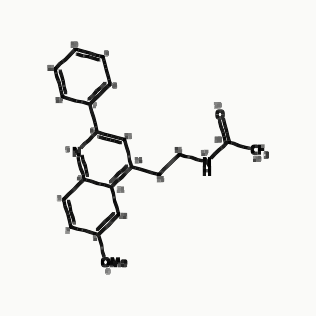 COc1ccc2nc(-c3ccccc3)cc(CCNC(=O)C(F)(F)F)c2c1